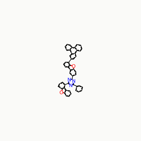 c1ccc(-c2nc(-c3ccc4oc5c(-c6ccc7c8ccccc8c8ccccc8c7c6)cccc5c4c3)nc(-c3cccc4oc5ccccc5c34)n2)cc1